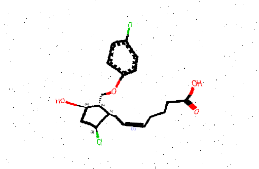 O=C(O)CCC/C=C\C[C@@H]1[C@@H](COc2ccc(Cl)cc2)[C@H](O)C[C@@H]1Cl